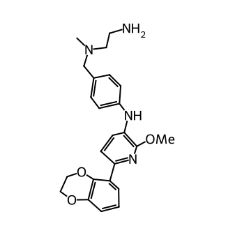 COc1nc(-c2cccc3c2OCCO3)ccc1Nc1ccc(CN(C)CCN)cc1